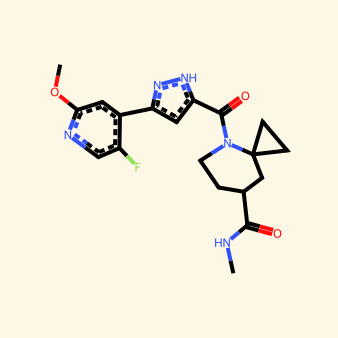 CNC(=O)C1CCN(C(=O)c2cc(-c3cc(OC)ncc3F)n[nH]2)C2(CC2)C1